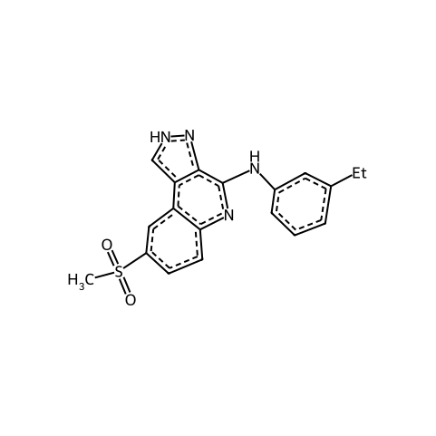 CCc1cccc(Nc2nc3ccc(S(C)(=O)=O)cc3c3c[nH]nc23)c1